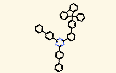 c1ccc(-c2ccc(-c3nc(-c4ccc(-c5ccccc5)cc4)nc(-c4cccc(-c5ccc(C6(c7ccccc7)c7ccccc7-c7ccccc76)cc5)c4)n3)cc2)cc1